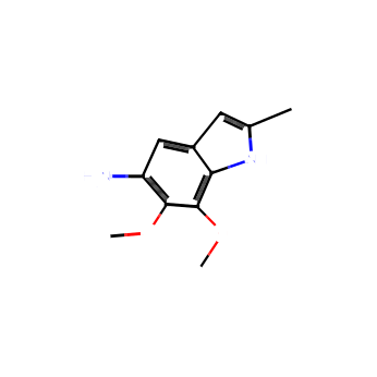 COc1c(N)cc2cc(C)[nH]c2c1OC